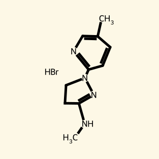 Br.CNC1=NN(c2ccc(C)cn2)CC1